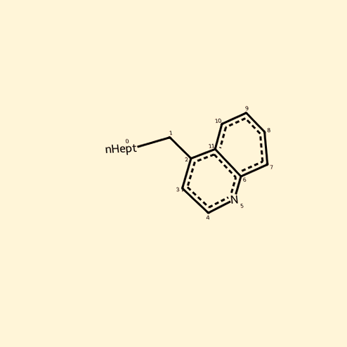 CCCCCCCCc1[c]cnc2ccccc12